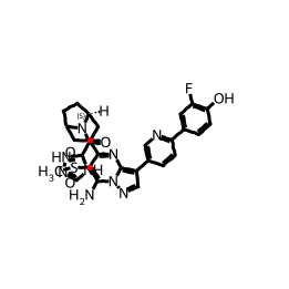 CS(=O)(=O)c1c(C2CC3CC[C@@H](C2)N3C(=O)C2NC=NN2)nc2c(-c3ccc(-c4ccc(O)c(F)c4)nc3)cnn2c1N